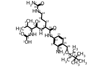 CC(C)C(NC(=O)O)C(=O)NC(CCCNC(N)=O)C(=O)Nc1ccc(CO[Si](C)(C)C(C)(C)C)c(N)c1